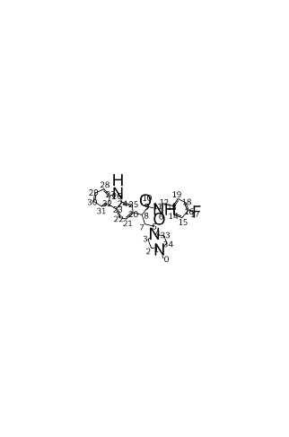 CN1CCN(C(=O)CC(C(=O)NCc2ccc(F)cc2)c2ccc3c(c2)[nH]c2ccccc23)CC1